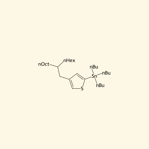 CCCCCCCCC(CCCCCC)Cc1cs[c]([Sn]([CH2]CCC)([CH2]CCC)[CH2]CCC)c1